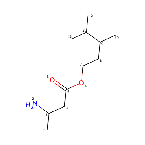 CC(N)CC(=O)OCCC(C)C(C)C